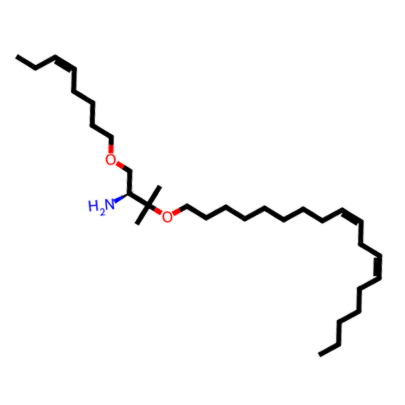 CC/C=C\CCCCOC[C@H](N)C(C)(C)OCCCCCCCC/C=C\C/C=C\CCCCC